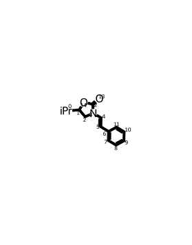 CC(C)C1CN(C=Cc2ccccc2)C(=O)O1